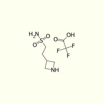 NS(=O)(=O)CCC1CNC1.O=C(O)C(F)(F)F